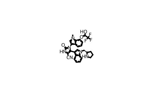 Cn1cc(-n2c(-c3cn(C[C@H]4CCCN4)c4ccccc34)c(C#N)[nH]c2=O)c2ccccc21.O=C(O)C(F)(F)F